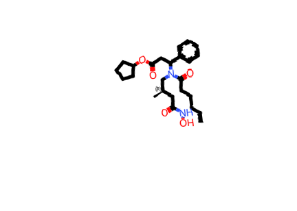 C=CCCCC(=O)N(C[C@H](C)CC(=O)NO)C(CC(=O)OC1CCCC1)c1ccccc1